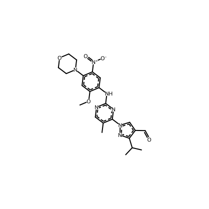 COc1cc(N2CCOCC2)c([N+](=O)[O-])cc1Nc1ncc(C)c(-n2cc(C=O)c(C(C)C)n2)n1